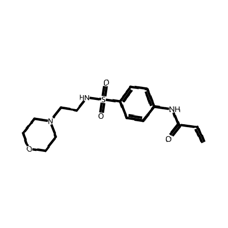 C=CC(=O)Nc1ccc(S(=O)(=O)NCCN2CCOCC2)cc1